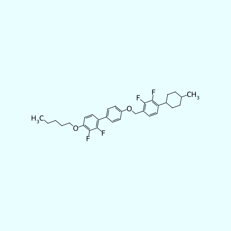 CCCCCOc1ccc(-c2ccc(OCc3ccc(C4CCC(C)CC4)c(F)c3F)cc2)c(F)c1F